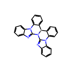 c1ccc2c(c1)B1c3ccccc3-n3c(nc4ccccc43)N1c1nc3ccccc3n1-2